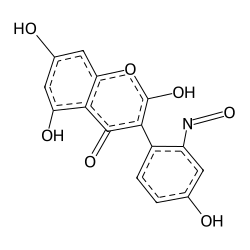 O=Nc1cc(O)ccc1-c1c(O)oc2cc(O)cc(O)c2c1=O